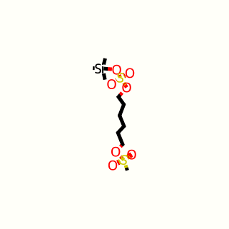 C[Si](C)(C)OS(=O)(=O)OCCCCCCOS(C)(=O)=O